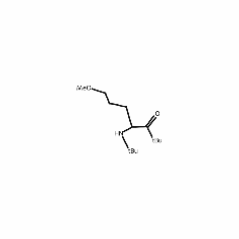 COCCCC(NC(C)(C)C)C(=O)C(C)(C)C